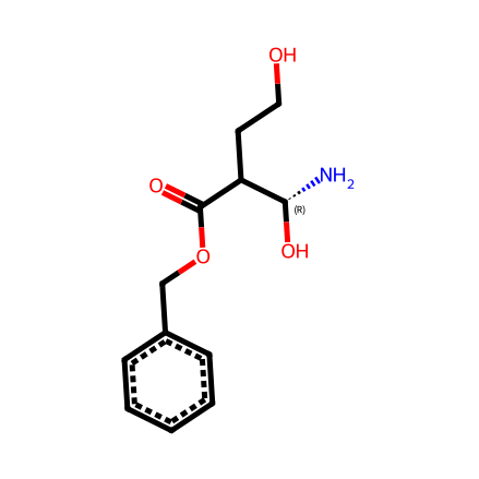 N[C@H](O)C(CCO)C(=O)OCc1ccccc1